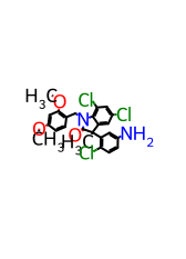 COc1ccc(CN2C(=O)C(C)(c3cc(N)ccc3Cl)c3cc(Cl)cc(Cl)c32)c(OC)c1